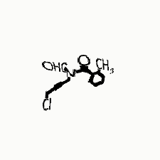 Cc1ccccc1C(=O)N(C=O)CC#CCCl